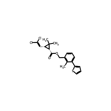 Cc1c(COC(=O)[C@@H]2[C@H](C=C(Cl)Cl)C2(C)C)cccc1-c1cccs1